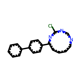 Clc1ncnccccc(-c2ccc(-c3ccccc3)cc2)n1